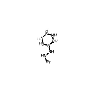 CC(C)NBN1BNBNB1